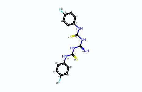 N=C(NC(=S)Nc1ccc(F)cc1)NC(=S)Nc1ccc(F)cc1